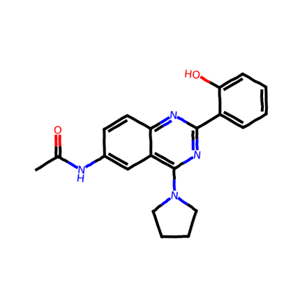 CC(=O)Nc1ccc2nc(-c3ccccc3O)nc(N3CCCC3)c2c1